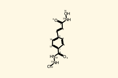 O=C(/C=C/c1ccc(C(=O)NNCl)cc1)NO